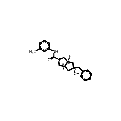 Cc1cccc(NC(=O)N2C[C@@H]3C[C@@](O)(Cc4ccccc4)C[C@@H]3C2)c1